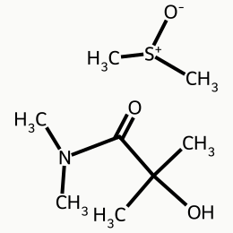 CN(C)C(=O)C(C)(C)O.C[S+](C)[O-]